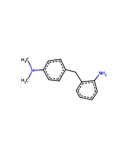 CN(C)c1ccc(Cc2ccccc2N)cc1